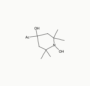 CC(=O)C1(O)CC(C)(C)N(O)C(C)(C)C1